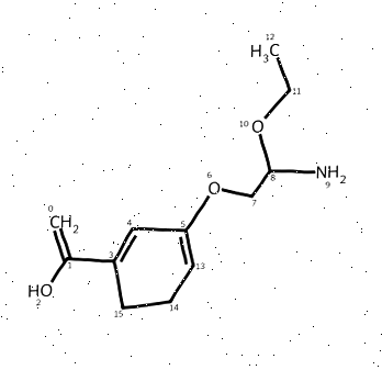 C=C(O)C1=CC(OCC(N)OCC)=CCC1